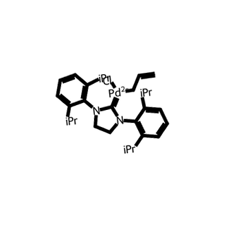 C=C[CH2][Pd-2]([Cl])=[C]1N(c2c(C(C)C)cccc2C(C)C)CCN1c1c(C(C)C)cccc1C(C)C